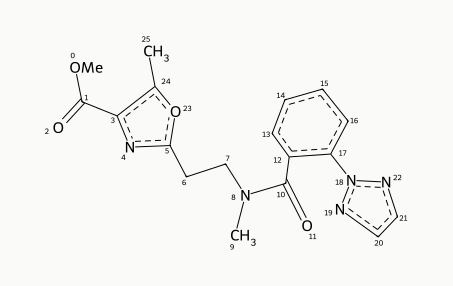 COC(=O)c1nc(CCN(C)C(=O)c2ccccc2-n2nccn2)oc1C